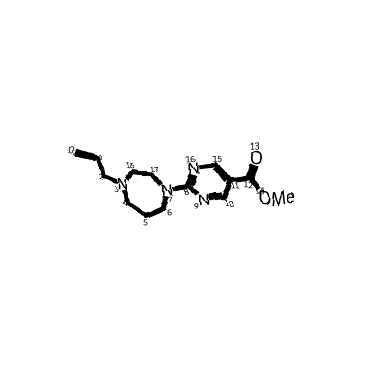 C=CCN1CCCN(c2ncc(C(=O)OC)cn2)CC1